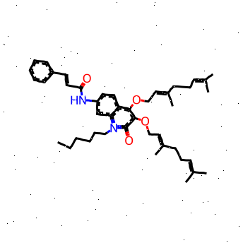 CCCCCCn1c(=O)c(OC/C=C(\C)CCC=C(C)C)c(OC/C=C(\C)CCC=C(C)C)c2ccc(NC(=O)C=Cc3ccccc3)cc21